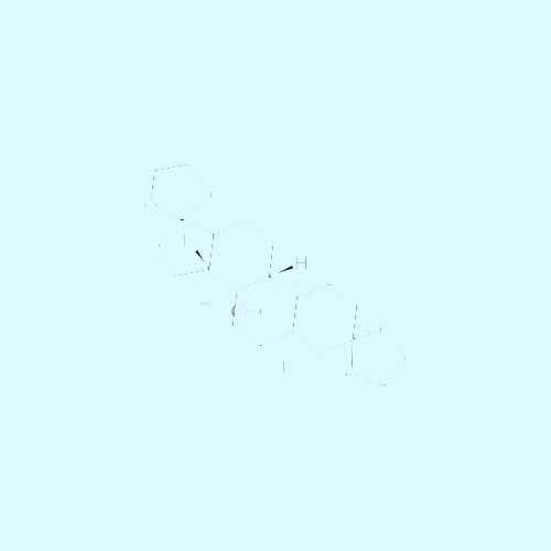 C[C@]12CC[C@H]3[C@@H](CC[C@@H]4CC5(CC[C@@]43C=O)OCCO5)[C@@H]1CCC21OCCO1